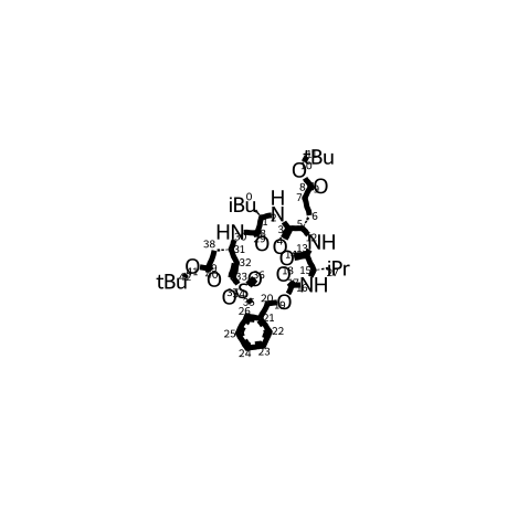 CCC(C)[C@H](NC(=O)[C@H](CCC(=O)OC(C)(C)C)NC(=O)[C@@H](NC(=O)OCc1ccccc1)C(C)C)C(=O)N[C@H](/C=C/S(C)(=O)=O)CC(=O)OC(C)(C)C